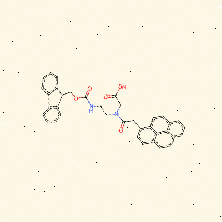 O=C(O)CN(CCNC(=O)OCC1c2ccccc2-c2ccccc21)C(=O)Cc1ccc2ccc3cccc4ccc1c2c34